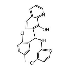 Cc1ccc(Cl)c(C(Nc2cc(Cl)ccn2)c2ccc3cccnc3c2O)c1